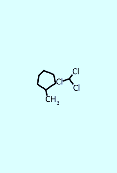 CC1CCCCC1.ClC(Cl)Cl